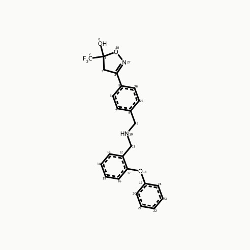 OC1(C(F)(F)F)CC(c2ccc(CNCc3ccccc3Oc3ccccc3)cc2)=NO1